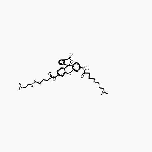 CN(C)CCSSCCCC(=O)Nc1ccc2c(c1)Oc1cc(NC(=O)CCCSSCCN(C)C)ccc1C21OC(=O)c2ccccc21